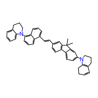 CC1(C)c2cc(/C=C/c3cccc4c(N5CCCc6ccccc65)cccc34)ccc2-c2ccc(N3CCCC4=C3CCC=C4)cc21